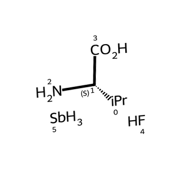 CC(C)[C@H](N)C(=O)O.F.[SbH3]